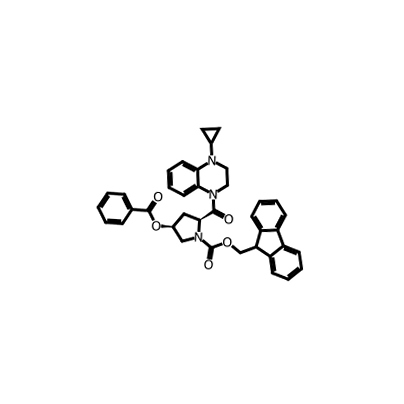 O=C(O[C@H]1C[C@@H](C(=O)N2CCN(C3CC3)c3ccccc32)N(C(=O)OCC2c3ccccc3-c3ccccc32)C1)c1ccccc1